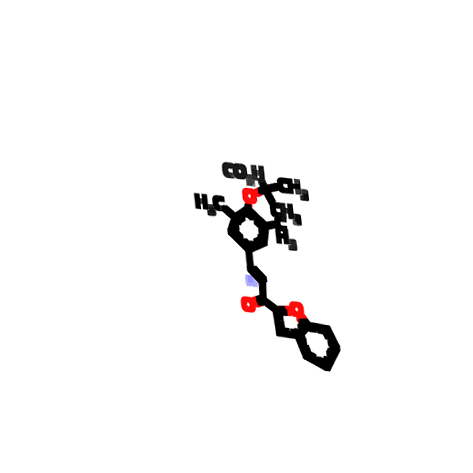 Cc1cc(/C=C/C(=O)c2cc3ccccc3o2)cc(C)c1OC(C)(C)C(=O)O